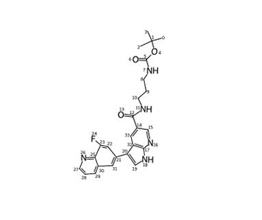 CC(C)(C)OC(=O)NCCCNC(=O)c1cnc2[nH]cc(-c3cc(F)c4ncccc4c3)c2c1